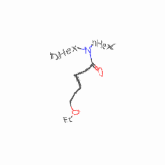 CCCCCCN(CCCCCC)C(=O)CCCOCC